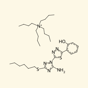 CCCCCCSc1nc(N)n(-c2nnc(-c3ccccc3O)s2)n1.CCCC[N+](CCCC)(CCCC)CCCC